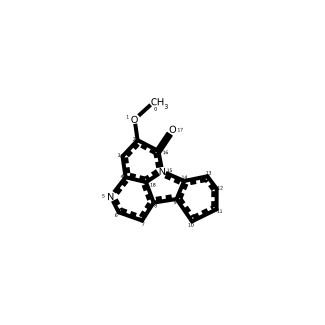 COc1cc2nccc3c4ccccc4n(c1=O)c23